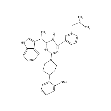 COc1ccccc1C1CCN(C(=O)N[C@@H](C(=O)Nc2cccc(CN(C)C)c2)[C@@H](C)c2c[nH]c3ccccc23)CC1